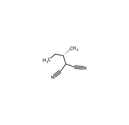 CC[C@H](C)C(C#N)C#N